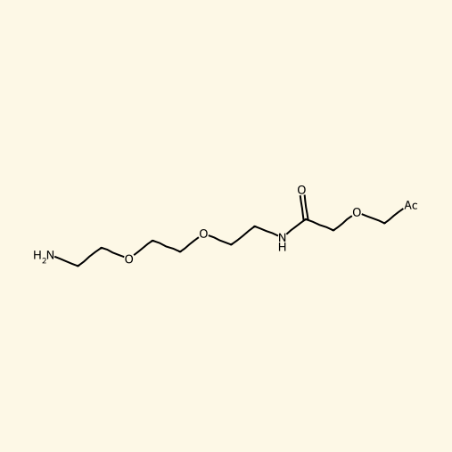 CC(=O)COCC(=O)NCCOCCOCCN